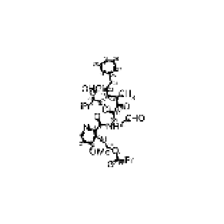 COc1ccnc(C(=O)N[C@@H](CC=O)C(=O)C(=O)[C@@H](C)[C@H](OC(=O)C(C)C)[C@H](C=O)Cc2ccccc2)c1OCOC(=O)C(C)C